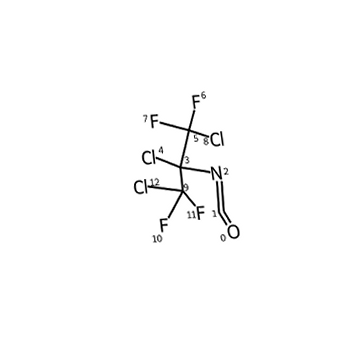 O=C=NC(Cl)(C(F)(F)Cl)C(F)(F)Cl